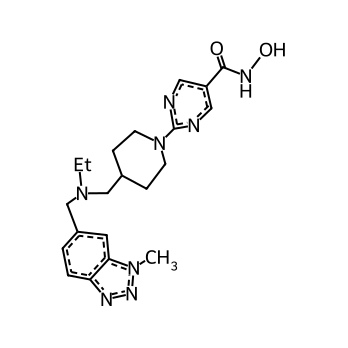 CCN(Cc1ccc2nnn(C)c2c1)CC1CCN(c2ncc(C(=O)NO)cn2)CC1